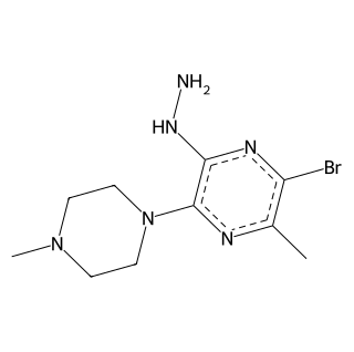 Cc1nc(N2CCN(C)CC2)c(NN)nc1Br